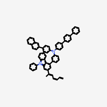 C=C/C=C\C=C(/C)c1cc(-c2cccc(N(c3ccc(-c4ccc(-c5ccccc5)cc4)cc3)c3ccc(-c4ccc5ccccc5c4)cc3)c2)c2c3ccccc3n(-c3ccccc3)c2c1